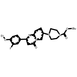 CCOc1ccc(-c2cc(=O)n3cc(N4CCN(C(=O)OC(C)(C)C)CC4)ccc3n2)cc1F